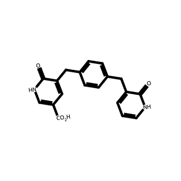 O=C(O)c1c[nH]c(=O)c(Cc2ccc(Cc3ccc[nH]c3=O)cc2)c1